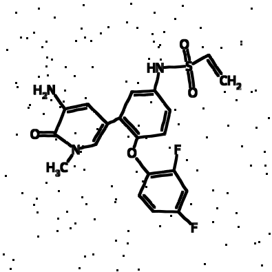 C=CS(=O)(=O)Nc1ccc(Oc2ccc(F)cc2F)c(-c2cc(N)c(=O)n(C)c2)c1